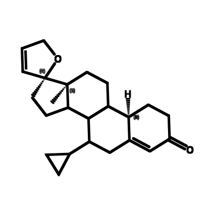 C[C@]12CCC3C(C(C4CC4)CC4=CC(=O)CC[C@@H]43)C1CC[C@@]21C=CCO1